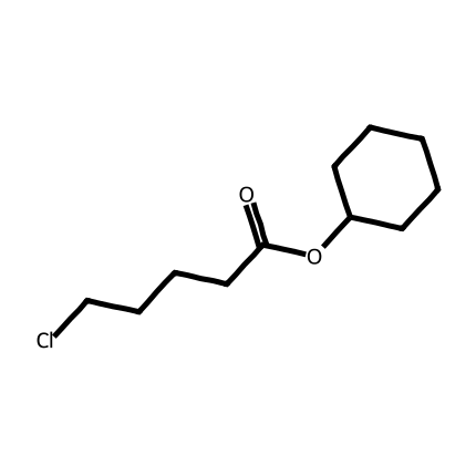 O=C(CCCCCl)OC1CCCCC1